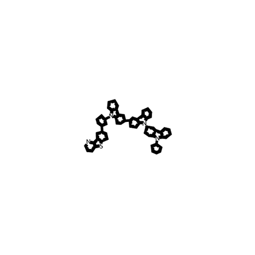 c1ccc(-n2c3ccccc3c3cc(-n4c5ccccc5c5cc(-c6ccc7c(c6)c6ccccc6n7-c6cccc(-c7ccc8sc9cccnc9c8c7)c6)ccc54)ccc32)cc1